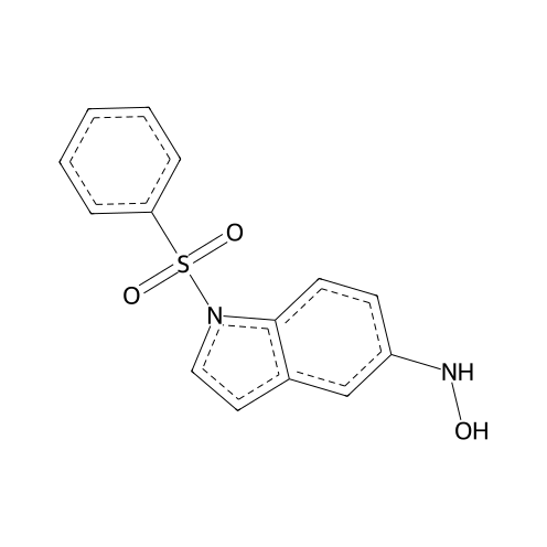 O=S(=O)(c1ccccc1)n1ccc2cc(NO)ccc21